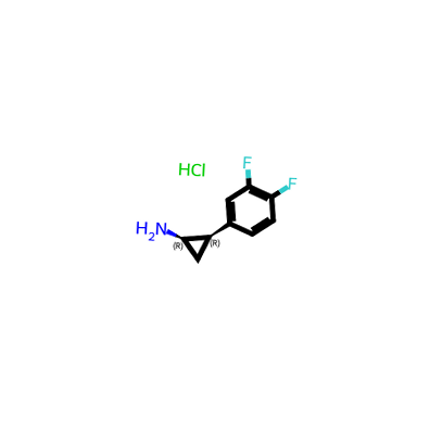 Cl.N[C@@H]1C[C@@H]1c1ccc(F)c(F)c1